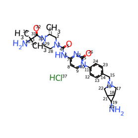 C[C@@H]1CN(C(=O)Nc2ccn(-c3ccc(CN4CC5C(N)C5C4)cc3)c(=O)n2)CCN1C(=O)C(C)(C)N.Cl